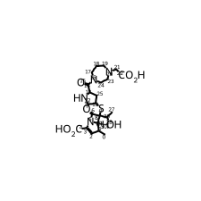 CC1C=C(C(=O)O)N2C(=O)C(SC3CNC(C(=O)N4CCCN(CC(=O)O)CC4)C3)(C(C)O)[C@H]12